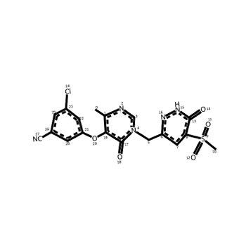 Cc1ncn(Cc2cc(S(C)(=O)=O)c(=O)[nH]n2)c(=O)c1Oc1cc(Cl)cc(C#N)c1